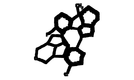 COc1ccc(F)c(C(=O)N2C3CCN(Cc4c(-c5ccc(Cl)cc5)nc5ccccn45)CC2COC3)n1